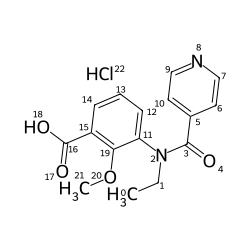 CCN(C(=O)c1ccncc1)c1cccc(C(=O)O)c1OC.Cl